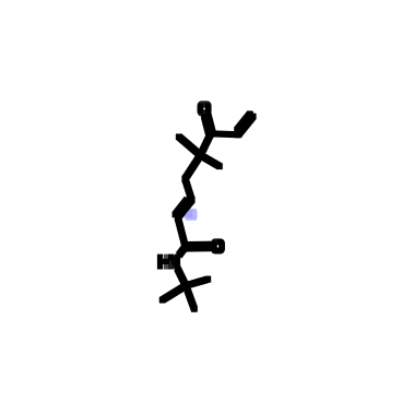 C=CC(=O)C(C)(C)C/C=C/C(=O)NC(C)(C)C